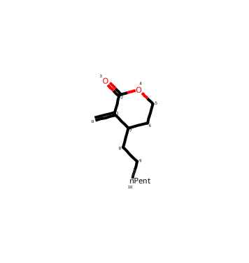 C=C1C(=O)OCCC1CCCCCCC